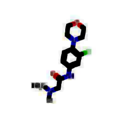 CCN(CC(=O)Nc1ccc(N2CCOCC2)c(Cl)c1)C(=O)O